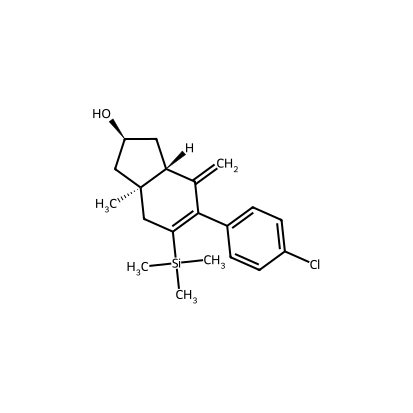 C=C1C(c2ccc(Cl)cc2)=C([Si](C)(C)C)C[C@@]2(C)C[C@@H](O)C[C@H]12